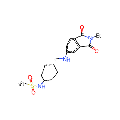 CCN1C(=O)c2ccc(NC[C@H]3CC[C@H](NS(=O)(=O)C(C)C)CC3)cc2C1=O